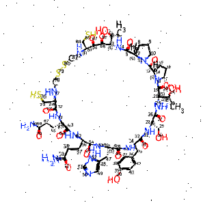 C[C@@H](O)[C@@H]1NC(=O)[C@@H]2CCCN2C(=O)[C@@H]2CCCN2C(=O)[C@H]([C@@H](C)O)NC(=O)[C@H](CO)NC(=O)C(Cc2ccc(O)cc2)NC(=O)[C@H](Cc2cnc[nH]2)NC(=O)C(CCC(N)=O)NC(=O)[C@H](CCC(N)=O)NC(=O)C(CS)NCSSCN[C@@H](CS)C(=O)C1=O